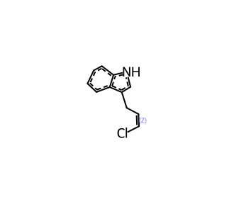 Cl/C=C\Cc1c[nH]c2ccccc12